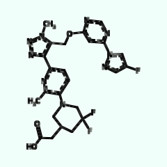 Cc1nc(-c2nnn(C)c2COc2cc(-n3cc(F)cn3)ncn2)ccc1N1CC(CC(=O)O)CC(F)(F)C1